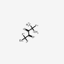 CCC(F)(F)C(=O)C(=O)C(C)(C)F